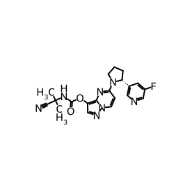 CC(C)(C#N)NC(=O)Oc1cnn2ccc(N3CCC[C@@H]3c3cncc(F)c3)nc12